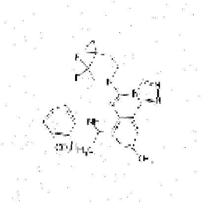 Cc1cc(C(C)Nc2ccccc2C(=O)O)c2nc(N3CCC4(CC4)C(F)(F)C3)n3cnnc3c2c1